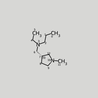 CCCN(CC)C[C@H]1CCN(C)C1